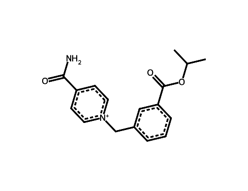 CC(C)OC(=O)c1cccc(C[n+]2ccc(C(N)=O)cc2)c1